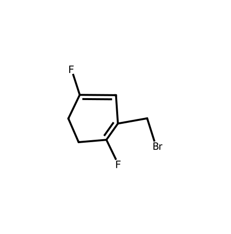 FC1=CC(CBr)=C(F)CC1